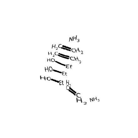 C=C.C=C.C=C.CCO.CCO.CCO.N.N